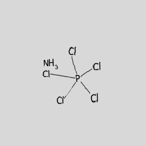 ClP(Cl)(Cl)(Cl)Cl.N